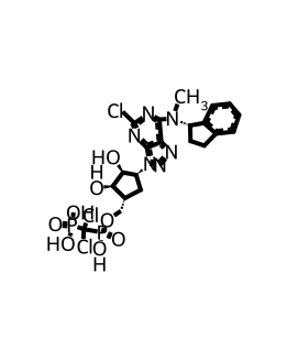 CN(c1nc(Cl)nc2c1nnn2[C@@H]1C[C@H](COP(=O)(O)C(Cl)(Cl)P(=O)(O)O)[C@@H](O)[C@H]1O)[C@H]1CCc2ccccc21